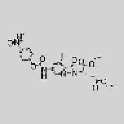 CCOC(=O)CC[C@H](NC(=O)c1ncc(NC(=O)Oc2ccc([N+](=O)[O-])cc2)cc1F)C(=O)OCC